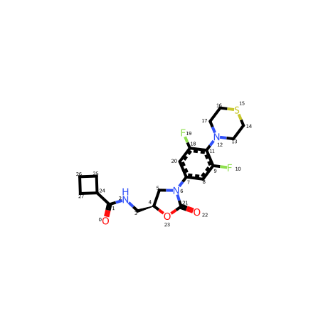 O=C(NC[C@H]1CN(c2cc(F)c(N3CCSCC3)c(F)c2)C(=O)O1)C1CCC1